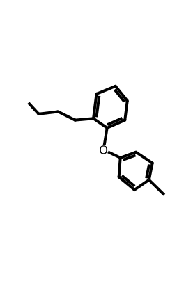 CCCCc1ccccc1Oc1ccc(C)cc1